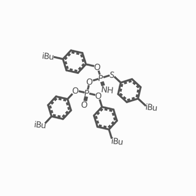 CCC(C)c1ccc(OP(=N)(OP(=O)(Oc2ccc(C(C)CC)cc2)Oc2ccc(C(C)CC)cc2)Sc2ccc(C(C)CC)cc2)cc1